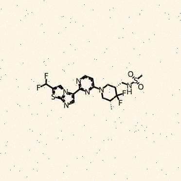 C[C@@H]1CN(c2ccnc(-c3cnc4sc(C(F)F)cn34)n2)C[C@H](CNS(C)(=O)=O)C1(F)F